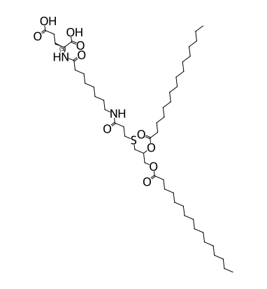 CCCCCCCCCCCCCCCC(=O)OCC(CSCCC(=O)NCCCCCCCC(=O)N[C@@H](CCC(=O)O)C(=O)O)OC(=O)CCCCCCCCCCCCCCC